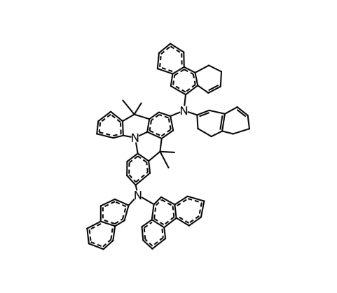 CC1(C)c2ccccc2N2c3ccc(N(c4ccc5ccccc5c4)c4cc5ccccc5c5ccccc45)cc3C(C)(C)c3cc(N(C4=CC5=C(CCC=C5)CC4)c4cc5ccccc5c5c4C=CCC5)cc1c32